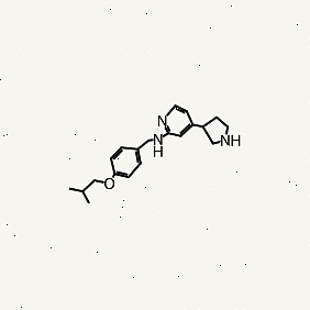 CC(C)COc1ccc(CNc2cc(C3CCNC3)ccn2)cc1